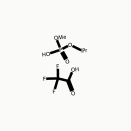 COP(=O)(O)OC(C)C.O=C(O)C(F)(F)F